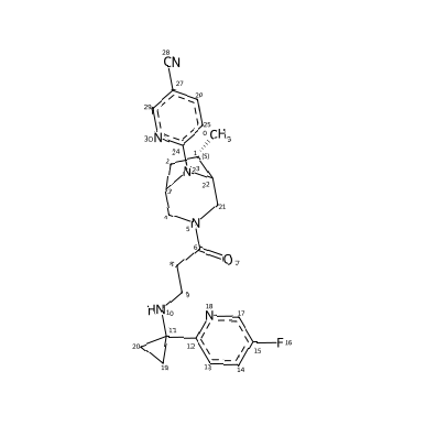 C[C@H]1CC2CN(C(=O)CCNC3(c4ccc(F)cn4)CC3)CC1N2c1ccc(C#N)cn1